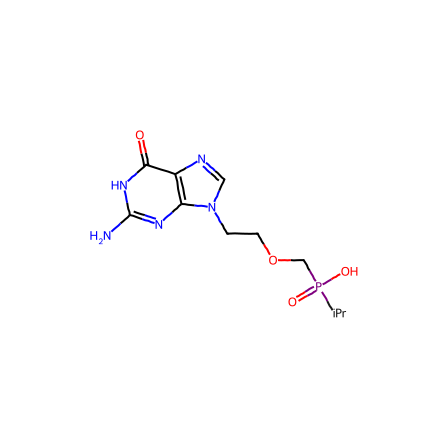 CC(C)P(=O)(O)COCCn1cnc2c(=O)[nH]c(N)nc21